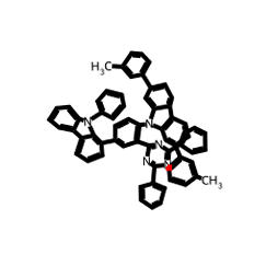 Cc1cccc(-c2ccc3c4ccc(-c5cccc(C)c5)cc4n(-c4ccc(-c5cccc6c7ccccc7n(-c7ccccc7)c56)cc4-c4nc(-c5ccccc5)nc(-c5ccccc5)n4)c3c2)c1